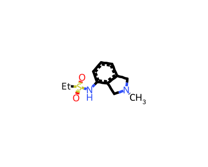 CCS(=O)(=O)Nc1cccc2c1CN(C)C2